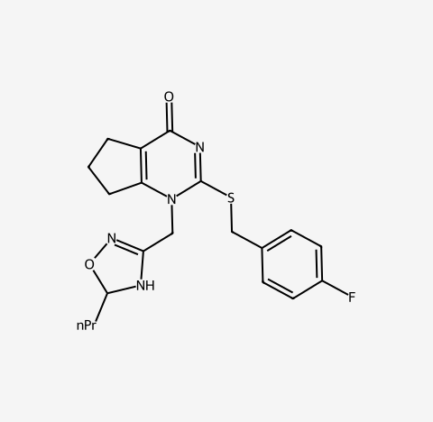 CCCC1NC(Cn2c(SCc3ccc(F)cc3)nc(=O)c3c2CCC3)=NO1